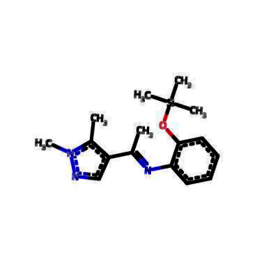 CC(=Nc1ccccc1O[Si](C)(C)C)c1cnn(C)c1C